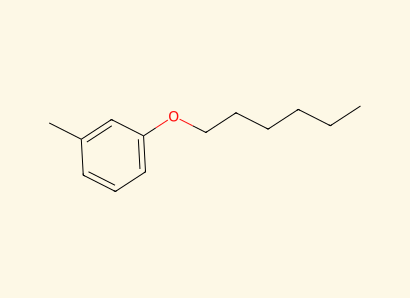 CCCCCCOc1cccc(C)c1